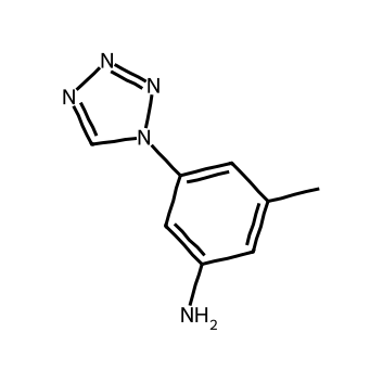 Cc1cc(N)cc(-n2cnnn2)c1